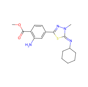 COC(=O)c1ccc(-c2nn(C)c(=NC3CCCCC3)s2)cc1N